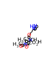 Cc1cc([C@H](C(=O)O)N(C)[C@H]2CC[C@H](OCCCCc3ccc4c(n3)NCCC4)C2)c2c(c1)N([C@@H]1CCO[C@H](C)C1)C(=O)C21CC1